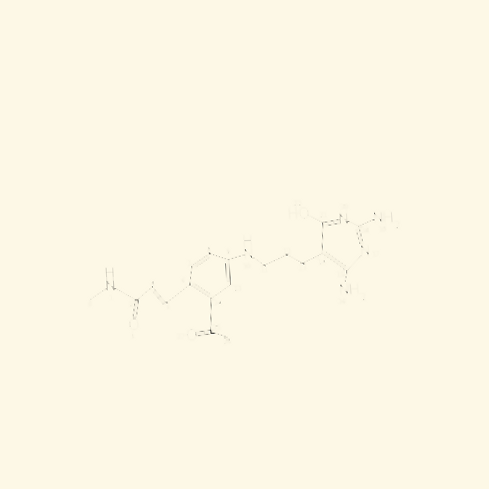 CNC(=O)/C=C/c1ccc(NCCCc2c(N)nc(N)nc2O)cc1C(C)=O